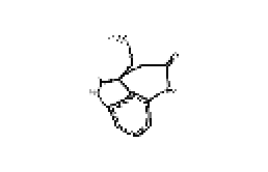 CCOC(=O)CC12CNc3cccc(c31)NC(=O)C2